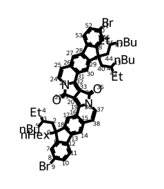 CCCCCCC1(CC(CC)CCCC)c2cc(Br)ccc2-c2cc3c(cc21)C1=C2C(=O)N4C=Cc5cc6c(cc5C4=C2C(=O)N1C=C3)C(CC(CC)CCCC)(CC(CC)CCCC)c1cc(Br)ccc1-6